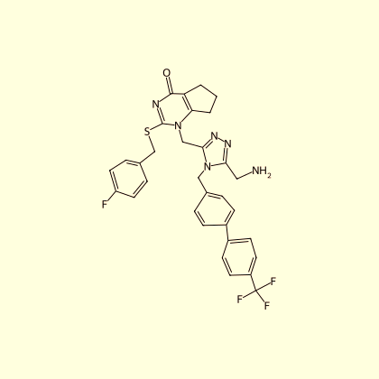 NCc1nnc(Cn2c(SCc3ccc(F)cc3)nc(=O)c3c2CCC3)n1Cc1ccc(-c2ccc(C(F)(F)F)cc2)cc1